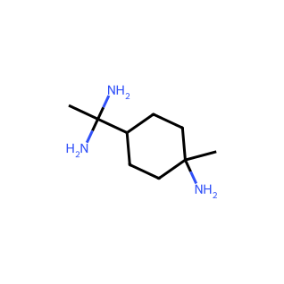 CC1(N)CCC(C(C)(N)N)CC1